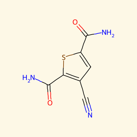 N#Cc1cc(C(N)=O)sc1C(N)=O